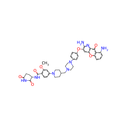 COc1cc(N2CCC(CN3CCN(c4ccc(Oc5cc6oc7cccc(N)c7c(=O)c6nc5N)cc4)CC3)CC2)ccc1C(=O)NC1CCC(=O)NC1=O